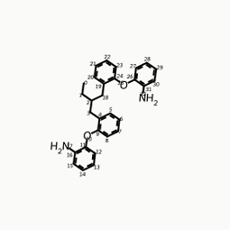 CCC(Cc1ccccc1Oc1ccccc1N)Cc1ccccc1Oc1ccccc1N